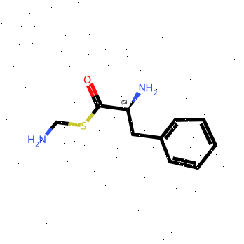 NCSC(=O)[C@@H](N)Cc1ccccc1